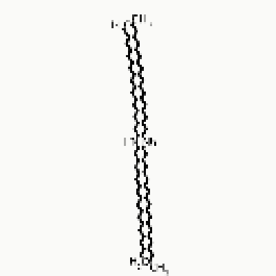 CCCCCCCCCCCCCCCCCCCCNCCCCCCCCCCCCCCCCCCCC.CCCCCCCCCCCCCCCCCCCNCCCCCCCCCCCCCCCCCCC